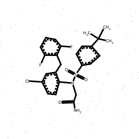 CC(C)(C)c1ccc(S(=O)(=O)N(CC(N)=O)c2ccc(Cl)cc2Cc2c(F)cccc2F)cc1